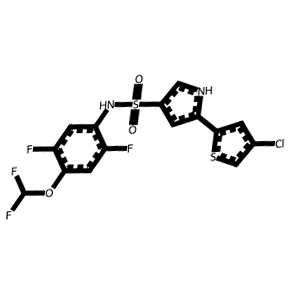 O=S(=O)(Nc1cc(F)c(OC(F)F)cc1F)c1c[nH]c(-c2cc(Cl)cs2)c1